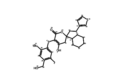 Cc1cc(SC2=C(O)CC(CCc3ccsc3)(C3CCCCC3)OC2=O)c(C(C)(C)C)cc1CO